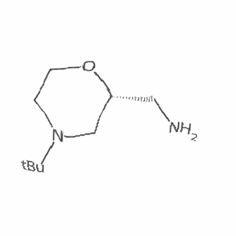 CC(C)(C)N1CCO[C@H](CN)C1